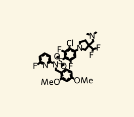 COc1ccc(CN(c2cccc(F)n2)S(=O)(=O)c2c(F)cc(N3CCC(CN(C)C)(C(F)F)C3)c(Cl)c2F)c(OC)c1